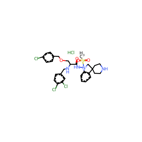 CS(=O)(=O)[N+]1(NC(=O)C(COCc2ccc(Cl)cc2)NCc2ccc(Cl)c(Cl)c2)CC2(CCNCC2)c2ccccc21.Cl